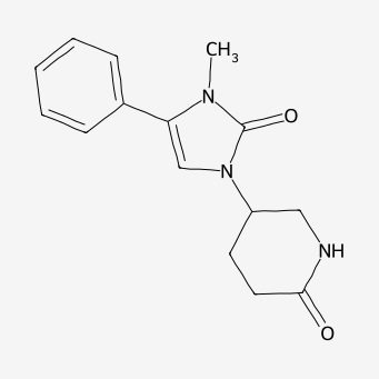 Cn1c(-c2ccccc2)cn(C2CCC(=O)NC2)c1=O